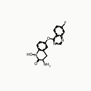 NC1Cc2cc(Oc3ncnc4cc(F)ccc34)ccc2N(O)C1=O